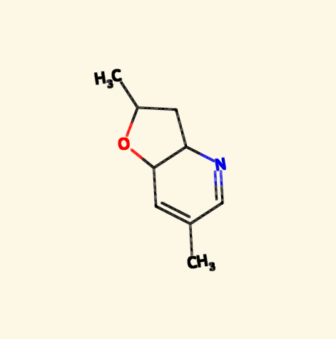 CC1=CC2OC(C)CC2N=C1